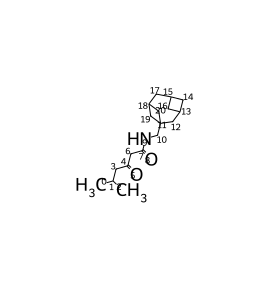 CC(C)CC(=O)CC(=O)NCC12CC3CC(C3)CC(C1)C2